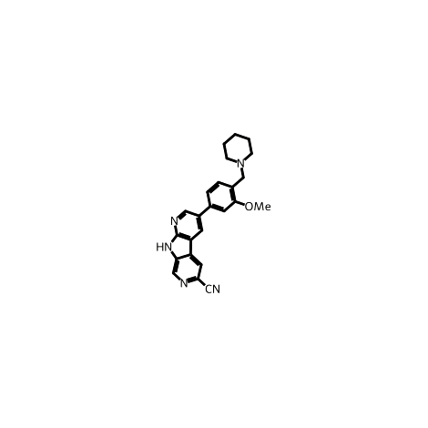 COc1cc(-c2cnc3[nH]c4cnc(C#N)cc4c3c2)ccc1CN1CCCCC1